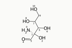 N[C@](O)(C=O)C(O)C(O)CO